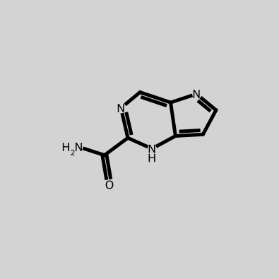 NC(=O)c1ncc2nccc-2[nH]1